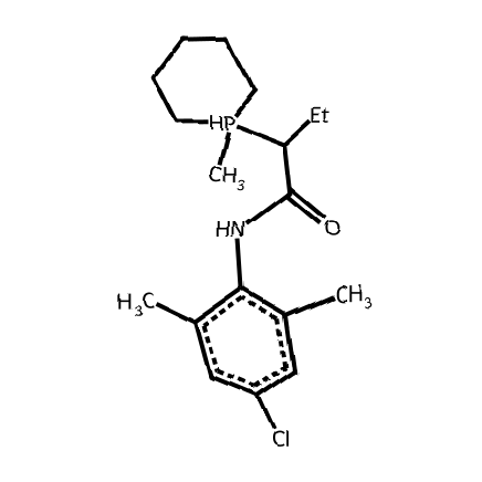 CCC(C(=O)Nc1c(C)cc(Cl)cc1C)[PH]1(C)CCCCC1